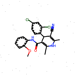 COc1ccccc1NC(=O)C1=C(C)NC(C)=C(C#N)C1c1ccc(Cl)cc1Cl